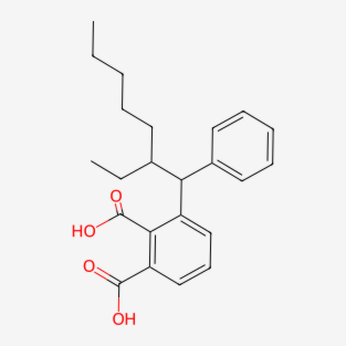 CCCCCC(CC)C(c1ccccc1)c1cccc(C(=O)O)c1C(=O)O